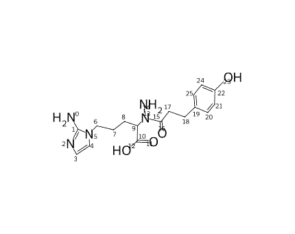 Nc1nccn1CCCC(C(=O)O)N(N)C(=O)CCc1ccc(O)cc1